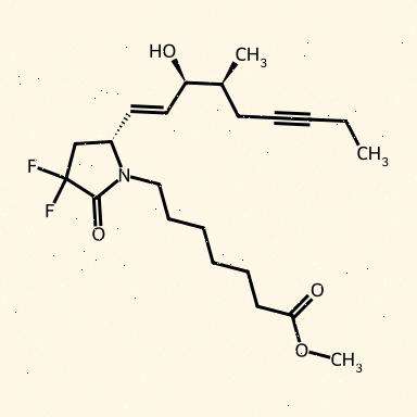 CCC#CC[C@H](C)[C@H](O)/C=C/[C@H]1CC(F)(F)C(=O)N1CCCCCCC(=O)OC